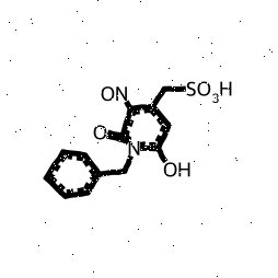 O=Nc1c(CS(=O)(=O)O)cc(O)n(Cc2ccccc2)c1=O